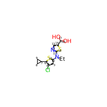 CCN(c1cc(Cl)c(C2CC2)s1)c1ncc(C(O)O)s1